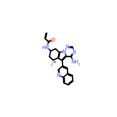 C=CC(=O)NC1Cc2c(c(-c3cnc4ccccc4c3)c3c(N)ncnn23)[C@H](C)C1